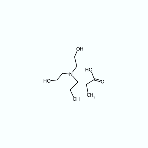 CCC(=O)O.OCCN(CCO)CCO